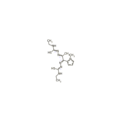 CCN/C(S)=N/N=C(C)/C(=N/N=C(\S)NCC)c1cccn1C